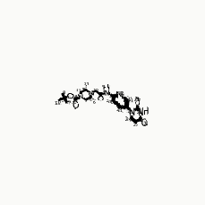 C[C@@H]1CN(C(=O)OC(C)(C)C)C[C@H](C)N1CC(=O)Nc1ccc(N2CCC(=O)NC2=O)cn1